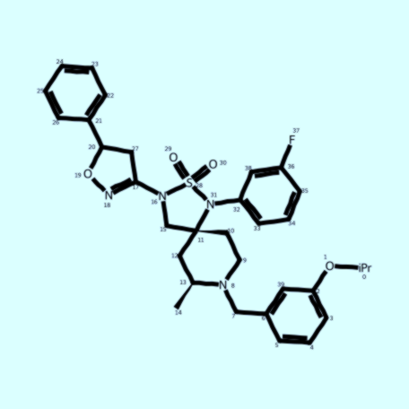 CC(C)Oc1cccc(CN2CC[C@@]3(C[C@@H]2C)CN(C2=NOC(c4ccccc4)C2)S(=O)(=O)N3c2cccc(F)c2)c1